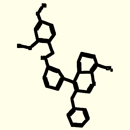 CCOc1ccc(CNc2cccc(-c3c(Cc4ccccc4)cnc4c(C(F)(F)F)cccc34)c2)c(OCC)c1